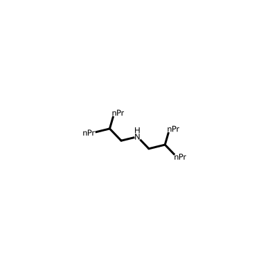 CCCC(CCC)CNCC(CCC)CCC